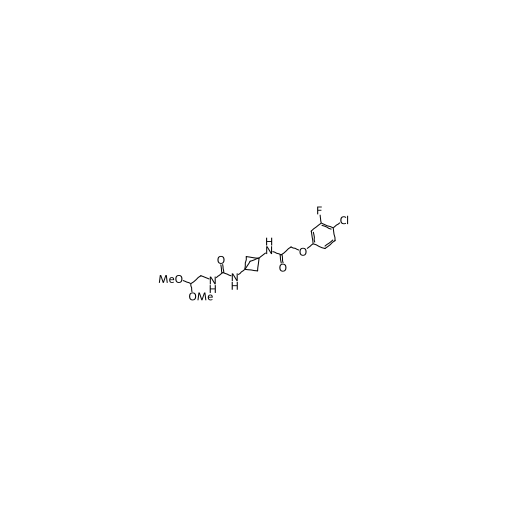 COC(CNC(=O)NC12CC(NC(=O)COc3ccc(Cl)c(F)c3)(C1)C2)OC